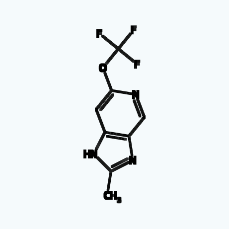 Cc1nc2cnc(OC(F)(F)F)cc2[nH]1